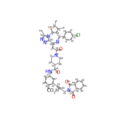 Cc1sc2c(c1C)C(c1ccc(Cl)cc1)=N[C@@H](CC(=O)N1CCC(C(=O)Nc3ccc(C(=O)O)c(C#CCN4C(=O)c5ccccc5C4=O)c3)CC1)c1nnc(C)n1-2